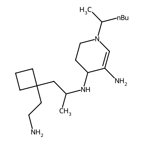 CCCCC(C)N1C=C(N)C(NC(C)CC2(CCN)CCC2)CC1